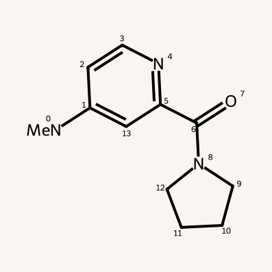 CNc1ccnc(C(=O)N2CCCC2)c1